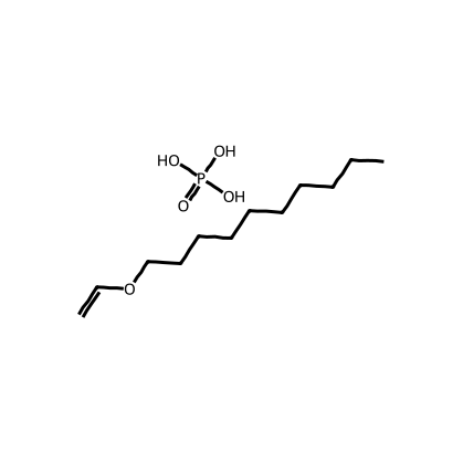 C=COCCCCCCCCCC.O=P(O)(O)O